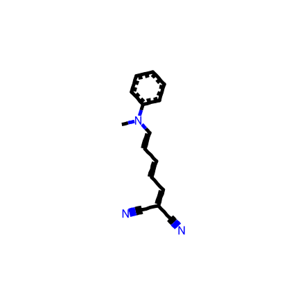 CN(C=CC=CC=C(C#N)C#N)c1ccccc1